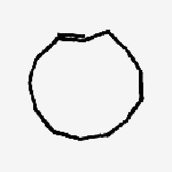 C1=C/CCCCCCCCCCC/1